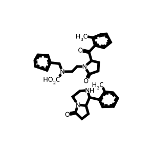 Cc1ccccc1C(=O)C1CCC(=O)N1CCN(Cc1ccccc1)C(=O)O.Cc1ccccc1C1NCCN2C(=O)CCC12